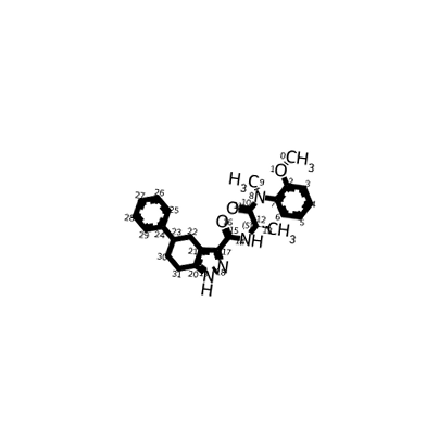 COc1ccccc1N(C)C(=O)[C@H](C)NC(=O)c1n[nH]c2c1CC(c1ccccc1)CC2